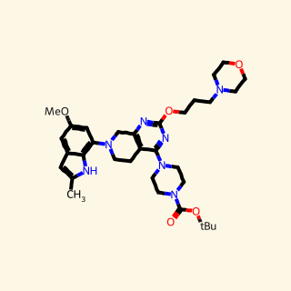 COc1cc(N2CCc3c(nc(OCCCN4CCOCC4)nc3N3CCN(C(=O)OC(C)(C)C)CC3)C2)c2[nH]c(C)cc2c1